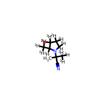 [2H]C([2H])([2H])C(C)(C#N)N1C([2H])([2H])C([2H])([2H])C([2H])([2H])C1([2H])C([2H])([2H])[2H]